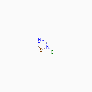 ClN1CN=CS1